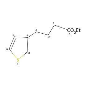 CCOC(=O)CCCC1C=CSC1